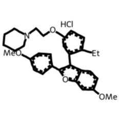 CCc1ccc(OCCN2CCCCC2)cc1-c1c(-c2ccc(OC)cc2)oc2cc(OC)ccc12.Cl